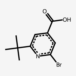 CC(C)(C)c1cc(C(=O)O)cc(Br)n1